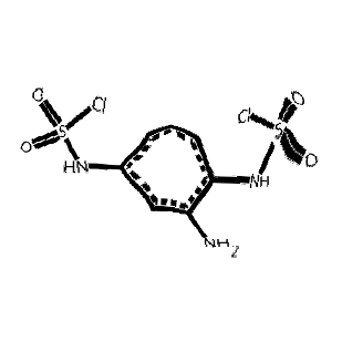 Nc1cc(NS(=O)(=O)Cl)ccc1NS(=O)(=O)Cl